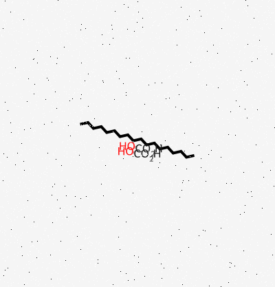 CCCCCCCCCCCCCCCCCC.O=C(O)O.O=C(O)O